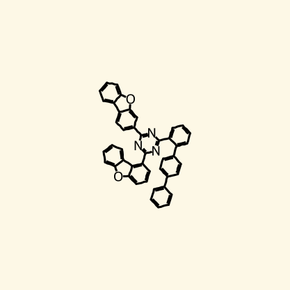 c1ccc(-c2ccc(-c3ccccc3-c3nc(-c4ccc5c(c4)oc4ccccc45)nc(-c4cccc5oc6ccccc6c45)n3)cc2)cc1